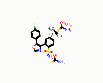 C.C#CC.NC(O)=S.NC(O)=S.NS(=O)(=O)c1ccccc1-c1ncoc1-c1ccc(Cl)cc1.O